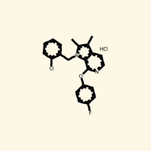 Cc1c(C)n(Cc2ccccc2Cl)c2c(Oc3ccc(F)cc3)nccc12.Cl